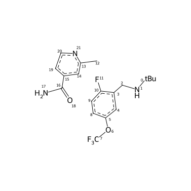 CC(C)(C)NCc1cc(OC(F)(F)F)ccc1F.Cc1cc(C(N)=O)ccn1